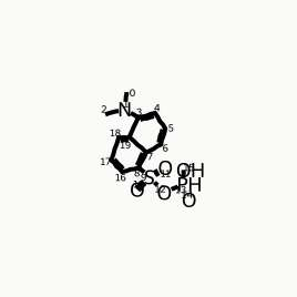 CN(C)c1cccc2c(S(=O)(=O)O[PH](=O)O)cccc12